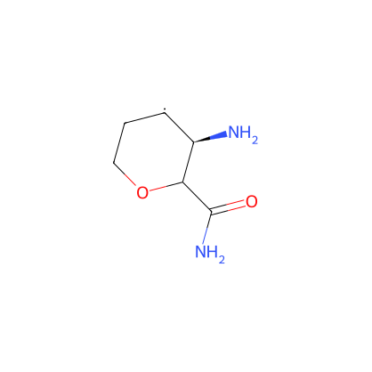 NC(=O)C1OCC[CH][C@H]1N